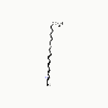 CC/C=C/C=CC=CC=CCCCCCCCC(=O)O